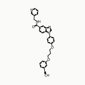 C#Cc1cccc(OCCCOc2ccc(-n3cnc4cc(C(=O)NCc5cccnc5)ccc43)cc2)c1